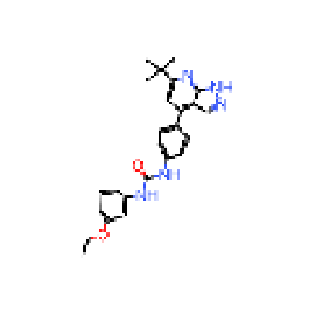 CCOc1cccc(NC(=O)Nc2ccc(-c3cc(C(C)(C)C)nc4[nH]ncc34)cc2)c1